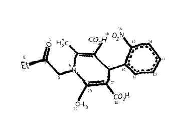 CCC(=O)CN1C(C)=C(C(=O)O)C(c2ccccc2[N+](=O)[O-])C(C(=O)O)=C1C